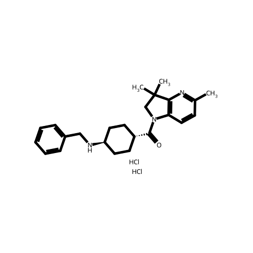 Cc1ccc2c(n1)C(C)(C)CN2C(=O)[C@H]1CC[C@H](NCc2ccccc2)CC1.Cl.Cl